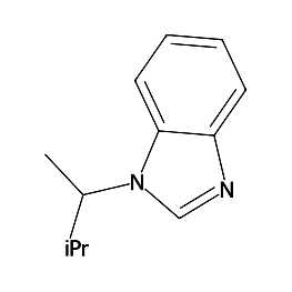 CC(C)C(C)n1cnc2ccccc21